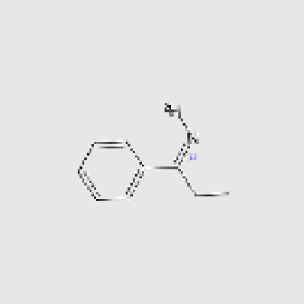 [2H]/N=C(/CC)c1ccccc1